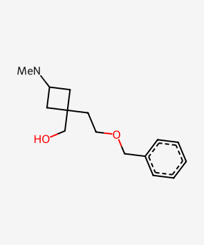 CNC1CC(CO)(CCOCc2ccccc2)C1